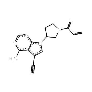 C#Cc1cn(C2CCN(C(=O)C=C)C2)c2ncnc(N)c12